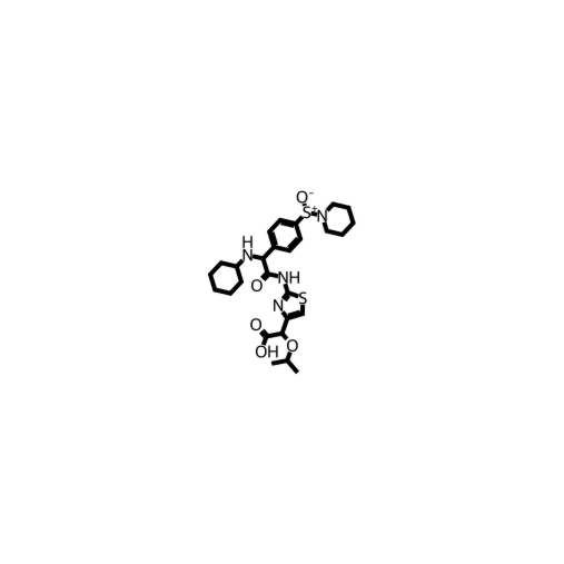 CC(C)OC(C(=O)O)c1csc(NC(=O)C(NC2CCCCC2)c2ccc([S+]([O-])N3CCCCC3)cc2)n1